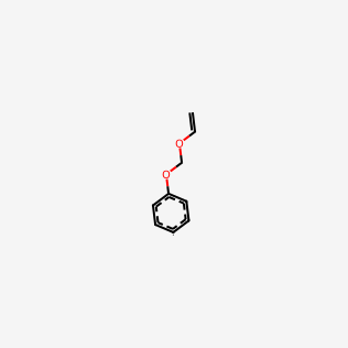 C=COCOc1cc[c]cc1